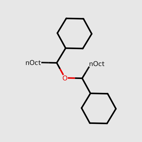 CCCCCCCCC(OC(CCCCCCCC)C1CCCCC1)C1CCCCC1